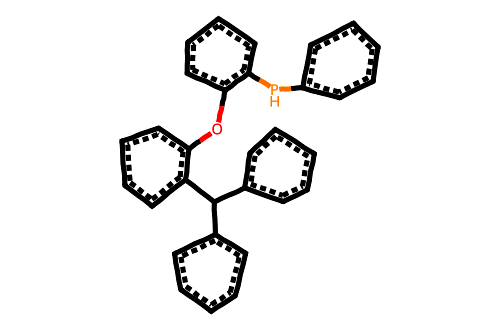 c1ccc(Pc2ccccc2Oc2ccccc2C(c2ccccc2)c2ccccc2)cc1